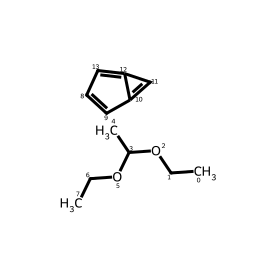 CCOC(C)OCC.c1cc2cc-2c1